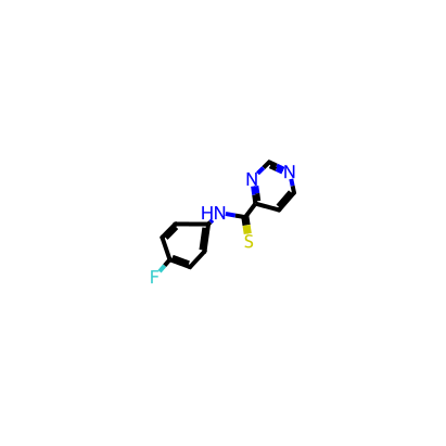 Fc1ccc(NC(=S)c2ccncn2)cc1